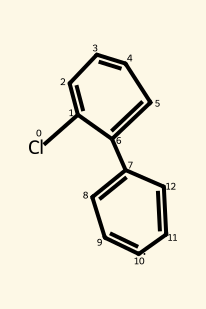 Clc1ccccc1-c1cc[c]cc1